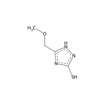 COCc1nc(S)n[nH]1